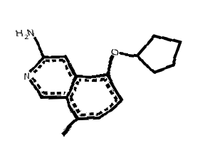 Cc1ccc(OC2CCCC2)c2cc(N)ncc12